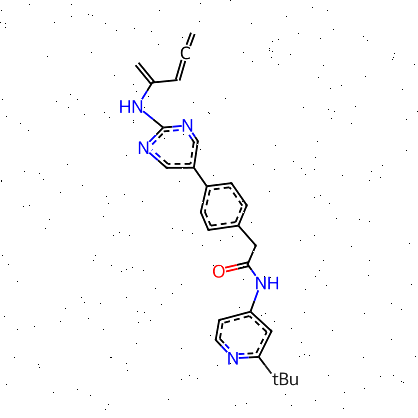 C=C=CC(=C)Nc1ncc(-c2ccc(CC(=O)Nc3ccnc(C(C)(C)C)c3)cc2)cn1